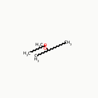 CCCCCCCCCCCCC(CCCCCCCC)COC(=O)C(C)CCCCCCCCC